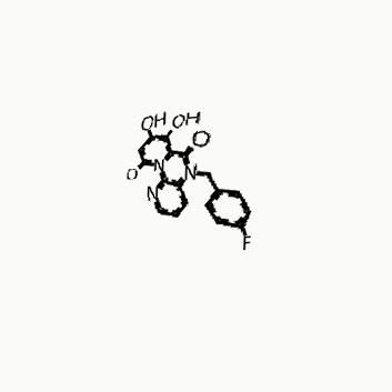 O=c1c2c(O)c(O)cc(=O)n2c2ncccc2n1Cc1ccc(F)cc1